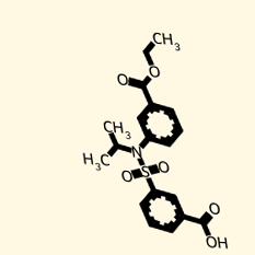 CCOC(=O)c1cccc(N(C(C)C)S(=O)(=O)c2cccc(C(=O)O)c2)c1